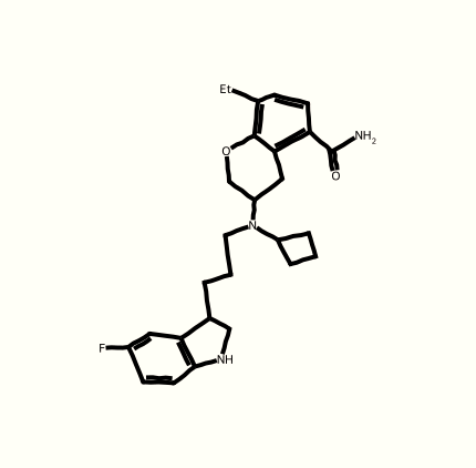 CCc1ccc(C(N)=O)c2c1OCC(N(CCCC1CNc3ccc(F)cc31)C1CCC1)C2